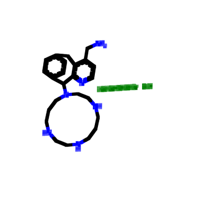 Br.Br.Br.Br.Br.Br.NCc1ccnc2c1Cc1ccc(cc1)C2N1CCCNCCNCCCNCC1